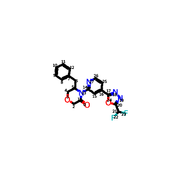 O=C1COCC(Cc2ccccc2)N1c1cc(-c2nnc(C(F)F)o2)ccn1